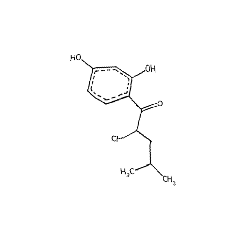 CC(C)CC(Cl)C(=O)c1ccc(O)cc1O